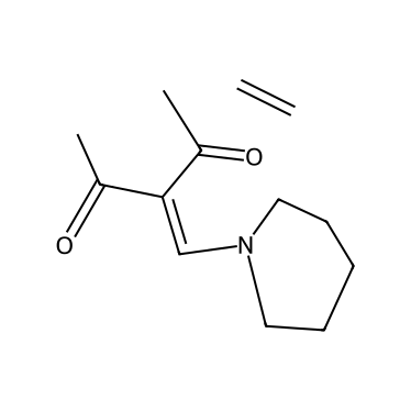 C=C.CC(=O)C(=CN1CCCCC1)C(C)=O